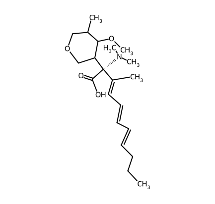 CCCC=CC=CC=C(C)[C@@](C(=O)O)(C1COCC(C)C1OC)N(C)C